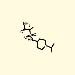 CC(C)N1CCC(NS(=O)(=O)C(C)C(N)=O)CC1